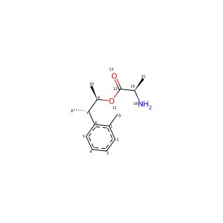 Cc1ccccc1[C@H](C)[C@@H](C)OC(=O)[C@@H](C)N